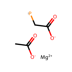 CC(=O)[O-].O=C([O-])C[P].[Mg+2]